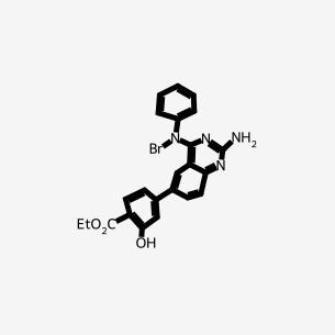 CCOC(=O)c1ccc(-c2ccc3nc(N)nc(N(Br)c4ccccc4)c3c2)cc1O